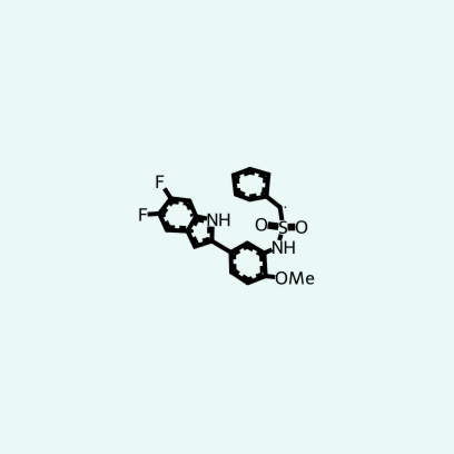 COc1ccc(-c2cc3cc(F)c(F)cc3[nH]2)cc1NS(=O)(=O)[CH]c1ccccc1